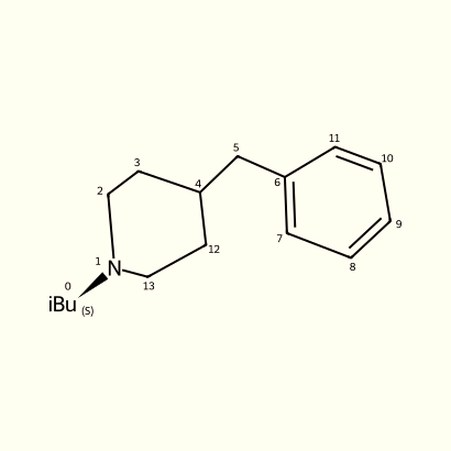 CC[C@H](C)N1CCC(Cc2ccccc2)CC1